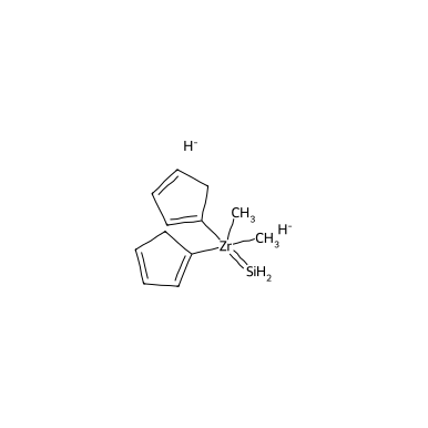 [CH3][Zr]([CH3])(=[SiH2])([C]1=CC=CC1)[C]1=CC=CC1.[H-].[H-]